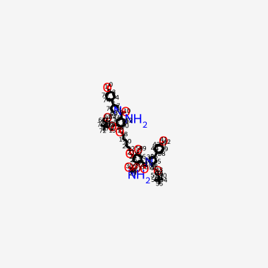 COc1ccc(C2=CN(C(=O)c3cc(OC)c(OCCCCCOc4cc(OC(N)=O)c(C(=O)N5C=C(c6ccc(OC)cc6)C[C@H]5CO[Si](C)(C)C(C)(C)C)cc4OC)cc3N)[C@H](CO[Si](C)(C)C(C)(C)C)C2)cc1